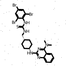 CN(C)c1nc(N[C@H]2CC[C@@H](CNC(=S)Nc3c(Br)cc(Br)cc3Br)CC2)nc2ccccc12